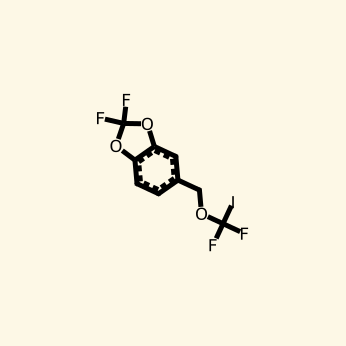 FC(F)(I)OCc1ccc2c(c1)OC(F)(F)O2